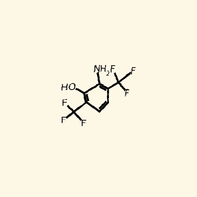 Nc1c(C(F)(F)F)ccc(C(F)(F)F)c1O